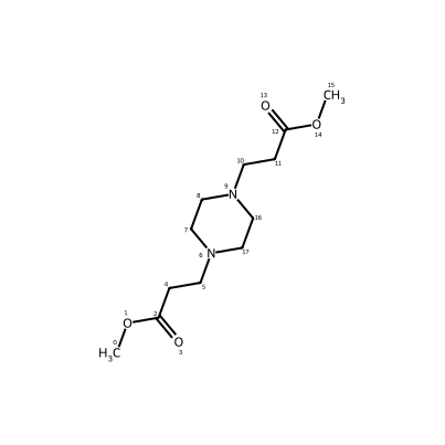 COC(=O)CCN1CCN(CCC(=O)OC)CC1